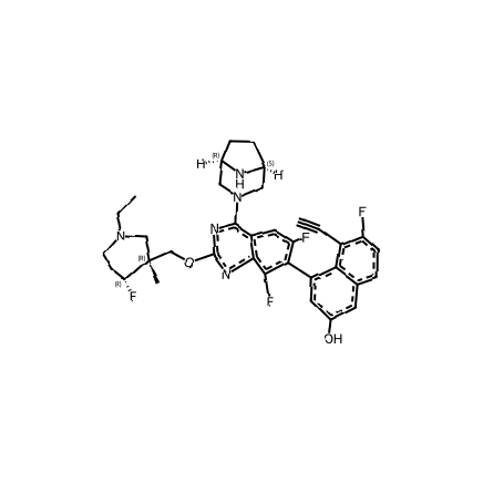 C#Cc1c(F)ccc2cc(O)cc(-c3c(F)cc4c(N5C[C@H]6CC[C@@H](C5)N6)nc(OC[C@@]5(C)CN(CC)CC[C@H]5F)nc4c3F)c12